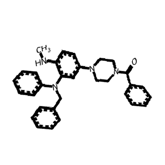 CNc1ccc(N2CCN(C(=O)c3ccccc3)CC2)cc1N(Cc1ccccc1)c1ccccc1